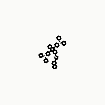 c1ccc(N(c2ccccc2)c2ccc(-c3c4ccccc4c(-c4ccc(N(c5ccccc5)c5ccccc5)cc4)c4cc(-c5ccc(-c6ccc7ccccc7c6)s5)ccc34)cc2)cc1